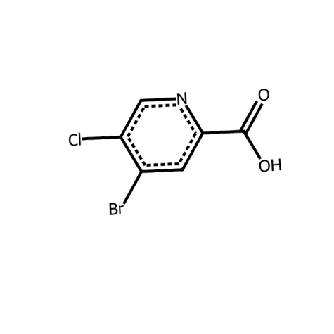 O=C(O)c1cc(Br)c(Cl)cn1